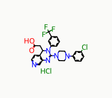 Cl.O=C(O)CC1c2ccncc2N=C(N2CCN(c3cccc(Cl)c3)CC2)N1c1cccc(C(F)(F)F)c1